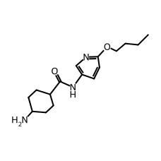 CCCCOc1ccc(NC(=O)C2CCC(N)CC2)cn1